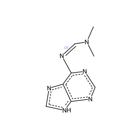 CN(C)/C=N\c1ncnc2[nH]cnc12